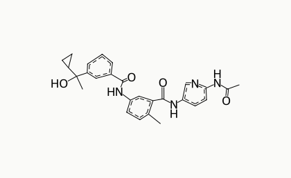 CC(=O)Nc1ccc(NC(=O)c2cc(NC(=O)c3cccc(C(C)(O)C4CC4)c3)ccc2C)cn1